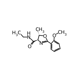 CCNC(=O)[C@@H]1N=C(c2ccccc2OC)O[C@H]1C